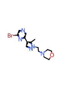 Cc1c(-c2cncc(Br)n2)cnn1CCN1CCOCC1